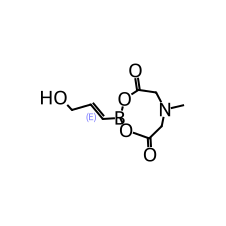 CN1CC(=O)OB(/C=C/CO)OC(=O)C1